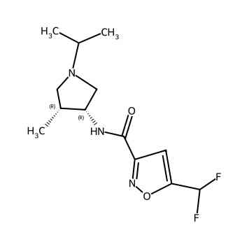 CC(C)N1C[C@@H](C)[C@@H](NC(=O)c2cc(C(F)F)on2)C1